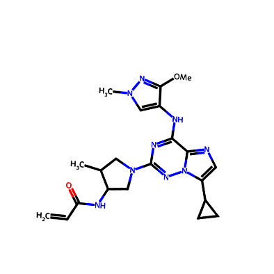 C=CC(=O)NC1CN(c2nc(Nc3cn(C)nc3OC)c3ncc(C4CC4)n3n2)CC1C